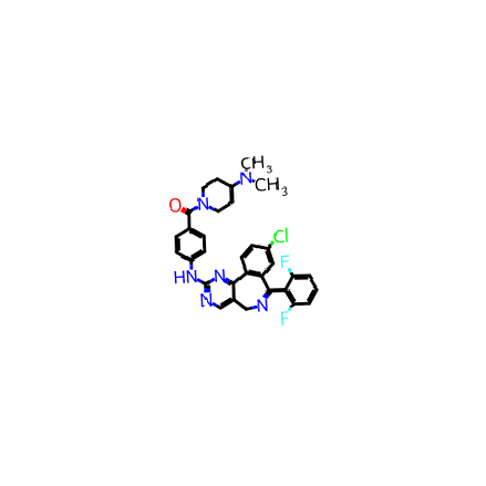 CN(C)C1CCN(C(=O)c2ccc(Nc3ncc4c(n3)-c3ccc(Cl)cc3C(c3c(F)cccc3F)=NC4)cc2)CC1